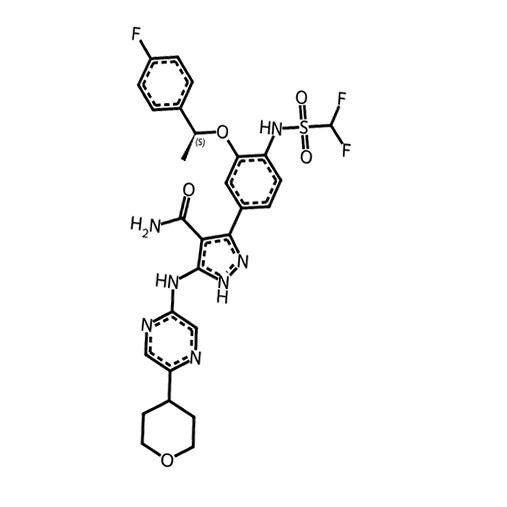 C[C@H](Oc1cc(-c2n[nH]c(Nc3cnc(C4CCOCC4)cn3)c2C(N)=O)ccc1NS(=O)(=O)C(F)F)c1ccc(F)cc1